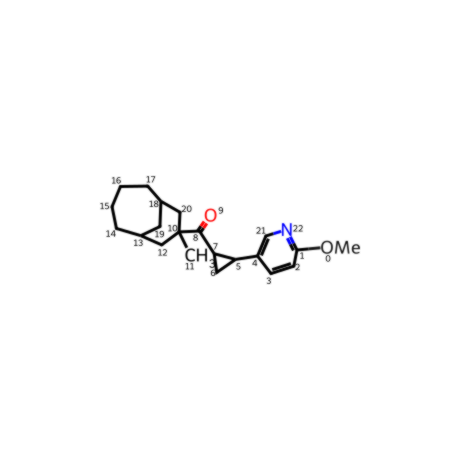 COc1ccc(C2CC2C(=O)C2(C)CC3CCCCC(C3)C2)cn1